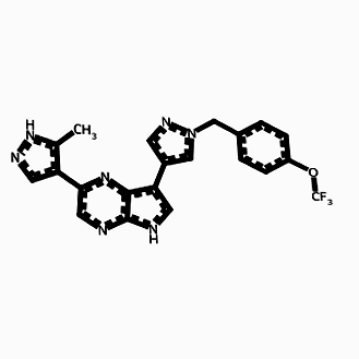 Cc1[nH]ncc1-c1cnc2[nH]cc(-c3cnn(Cc4ccc(OC(F)(F)F)cc4)c3)c2n1